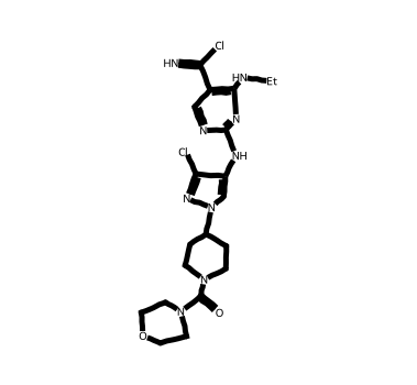 CCNc1nc(Nc2cn(C3CCN(C(=O)N4CCOCC4)CC3)nc2Cl)ncc1C(=N)Cl